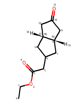 CCOC(=O)CC1C[C@H]2CC(=O)C[C@H]2C1